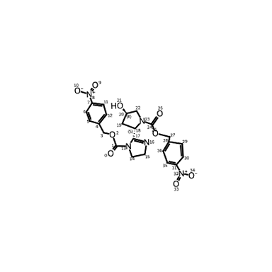 O=C(OCc1ccc([N+](=O)[O-])cc1)N1CCN=C1[C@@H]1C[C@@H](O)CN1C(=O)OCc1ccc([N+](=O)[O-])cc1